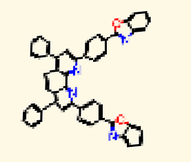 c1ccc(-c2cc(-c3ccc(-c4nc5ccccc5o4)cc3)nc3c2ccc2c(-c4ccccc4)cc(-c4ccc(-c5nc6ccccc6o5)cc4)nc23)cc1